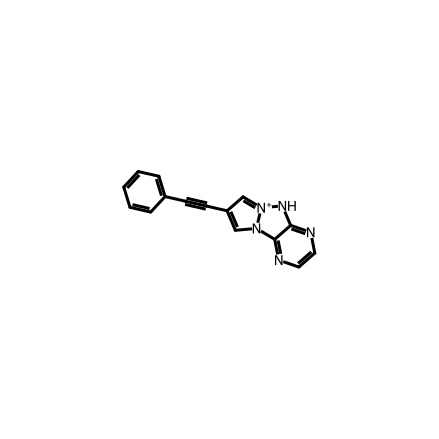 C(#Cc1cn2c3nccnc3[nH][n+]2c1)c1ccccc1